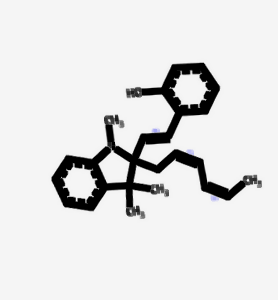 C/C=C\C=C/CC1(/C=C/c2ccccc2O)N(C)c2ccccc2C1(C)C